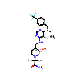 CCN(Cc1ccc(C(F)(F)F)cc1)c1ncnc(NC[C@@H]2CCN(C(C)(C)C(N)=O)C[C@H]2O)c1F